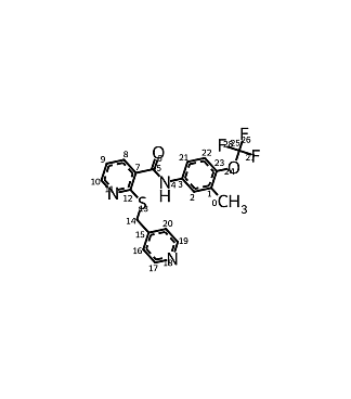 Cc1cc(NC(=O)c2cccnc2SCc2ccncc2)ccc1OC(F)(F)F